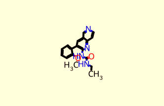 CCNC(=O)Nc1nc2ccncc2cc1-c1ccccc1OC